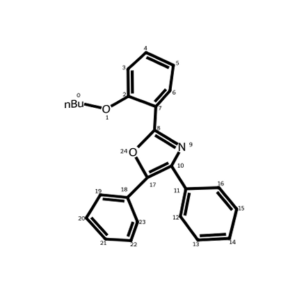 CCCCOc1ccccc1-c1nc(-c2ccccc2)c(-c2ccccc2)o1